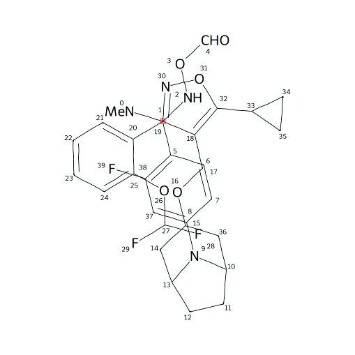 CNC(NOC=O)c1ccc(N2C3CCC2CC(OCc2c(-c4ccccc4OC(F)F)noc2C2CC2)C3)cc1F